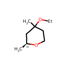 CCOC1(C)CCO[C@@H](C)C1